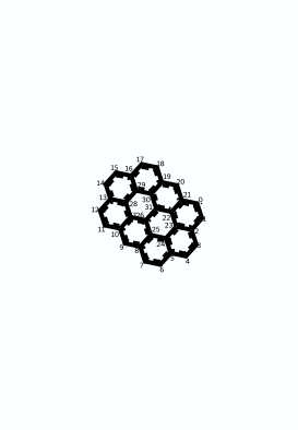 [c]1cc2ccc3ccc4cc5ccc6ccc7ccc8cc1c1c2c3c4c2c5c6c7c8c12